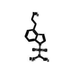 CN(C)S(=O)(=O)n1ccc2c(CCN)cccc21